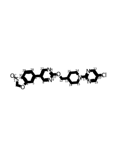 [O-][S@+]1COc2cc(-c3cnc(OCC4CCN(c5ncc(Cl)cn5)CC4)nc3)ccc21